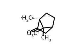 [CH2][C@@]12CCC(CC1=O)C2(C)C